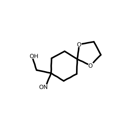 O=NC1(CO)CCC2(CC1)OCCO2